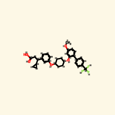 COc1ccc(-c2ccc(C(F)(F)F)cc2)c(O[C@H]2CC[C@H](Oc3cccc(C(CC(=O)O)C4CC4)c3)CC2)c1